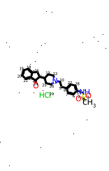 CS(=O)(=O)Nc1ccc(CCN2CCC(C3Cc4ccccc4C3=O)CC2)cc1.Cl